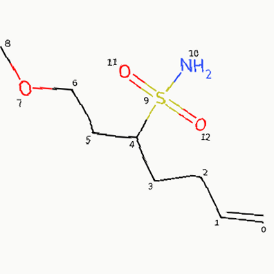 C=CCCC(CCOC)S(N)(=O)=O